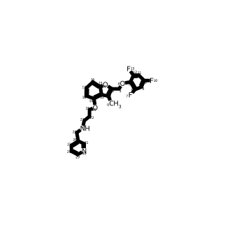 Cc1c(COc2c(F)cc(F)cc2F)oc2cccc(OCCCNCc3cccnc3)c12